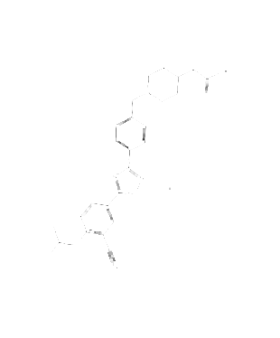 CC(C)Oc1ccc(-c2nc(-c3ccc(CN4CCC(CC(=O)O)CC4)cc3)no2)cc1C#N.Cl